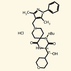 CCCCN1C(=O)[C@@H]([C@H](O)C2CCOCC2)NC(=O)C12CCN(Cc1c(C)nn(-c3ccccc3)c1C)CC2.Cl